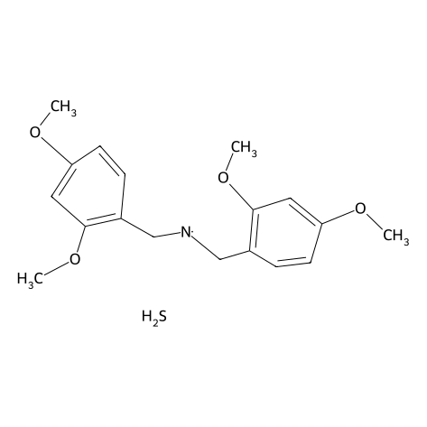 COc1ccc(C[N]Cc2ccc(OC)cc2OC)c(OC)c1.S